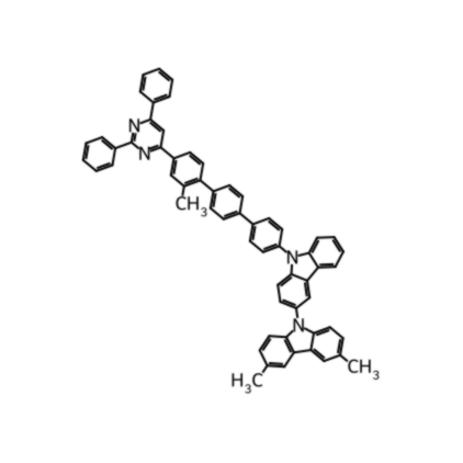 Cc1ccc2c(c1)c1cc(C)ccc1n2-c1ccc2c(c1)c1ccccc1n2-c1ccc(-c2ccc(-c3ccc(-c4cc(-c5ccccc5)nc(-c5ccccc5)n4)cc3C)cc2)cc1